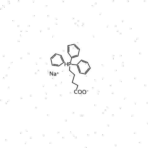 O=C([O-])CCCC[PH](c1ccccc1)(c1ccccc1)c1ccccc1.[Na+]